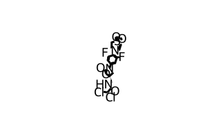 O=C(NC[C@H]1CN(c2cc(F)c(N3C=CS(=O)(=O)CC3)c(F)c2)C(=O)O1)C(Cl)Cl